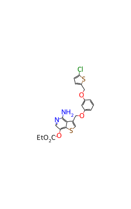 CCOC(=O)Oc1cnc(N)c2c(COc3cccc(OCc4ccc(Cl)s4)c3)csc12